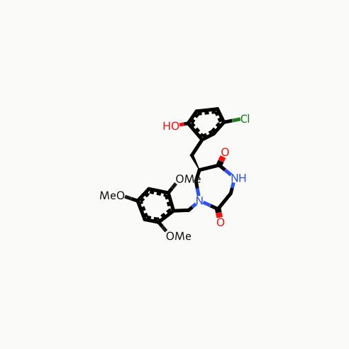 COc1cc(OC)c(CN2C[C@@H](Cc3cc(Cl)ccc3O)C(=O)NCC2=O)c(OC)c1